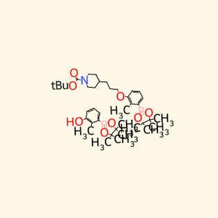 Cc1c(O)cccc1B1OC(C)(C)C(C)(C)O1.Cc1c(OCCCC2CCN(C(=O)OC(C)(C)C)CC2)cccc1B1OC(C)(C)C(C)(C)O1